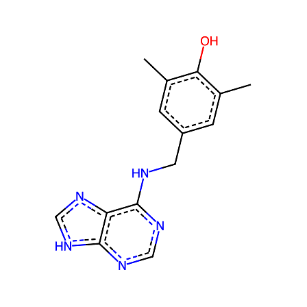 Cc1cc(CNc2ncnc3[nH]cnc23)cc(C)c1O